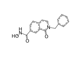 O=C(NO)c1ccc2ccn(Cc3ccccc3)c(=O)c2c1